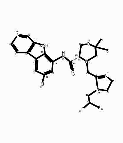 CC1(C)CN(CC2=NCCN2CC(F)F)[C@H](C(=O)Nc2cc(Cl)cc3c2[nH]c2cnccc23)CO1